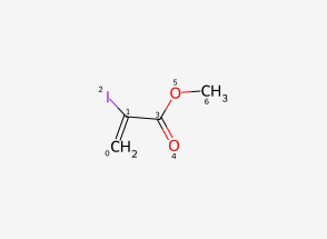 C=C(I)C(=O)OC